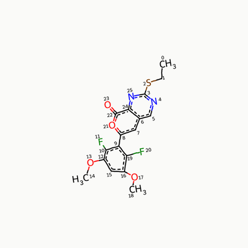 CCSc1ncc2cc(-c3c(F)c(OC)cc(OC)c3F)oc(=O)c2n1